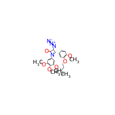 CCCCOc1cc([C@H]2[C@H](N=[N+]=[N-])C(=O)N2c2cc(OC)c(OC)c(OC)c2)ccc1OC